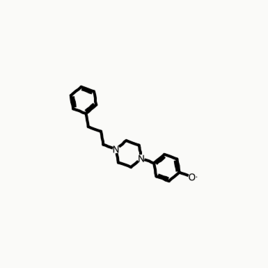 [O]c1ccc(N2CCN(CCCc3ccccc3)CC2)cc1